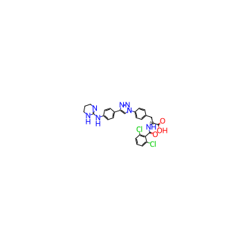 O=C(N[C@@H](Cc1ccc(-n2cc(-c3ccc(NC4=NCCCN4)cc3)nn2)cc1)C(=O)O)c1c(Cl)cccc1Cl